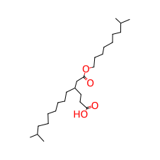 CC(C)CCCCCCCOC(=O)CC(CCCCCCCC(C)C)CCC(=O)O